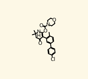 Cc1ccc(-c2ccc(Cl)cc2)cc1C1=C(OC(=O)N2CCOCC2)NC(C)(C)CC1=O